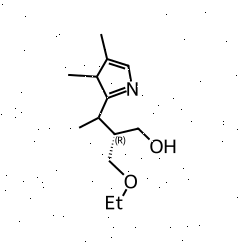 CCOC[C@@H](CO)C(C)C1=NC=C(C)C1C